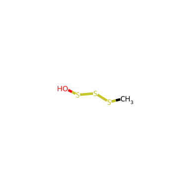 CSSSO